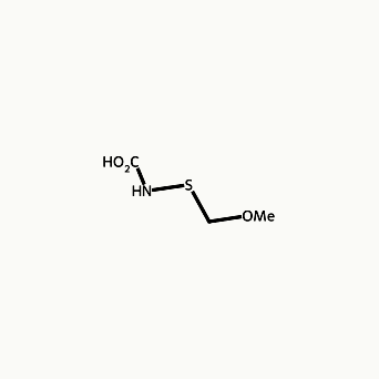 COCSNC(=O)O